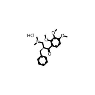 COc1ccc(C(=O)[C@@H](Cc2ccccc2)CN(C)C)c(OC)c1OC.Cl